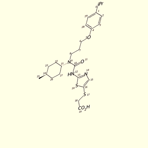 CC(C)c1ccc(OCCCN(C(=O)Nc2ncc(SCC(=O)O)s2)[C@H]2CC[C@H](C)CC2)cc1